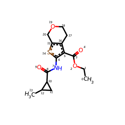 CCOC(=O)c1c(NC(=O)C2CC2C)sc2c1CCOC2